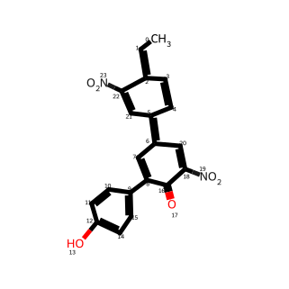 CC=c1cc/c(=C2/C=C(c3ccc(O)cc3)C(=O)C([N+](=O)[O-])=C2)cc1[N+](=O)[O-]